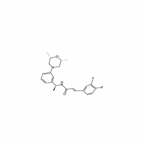 C[C@@H]1CN(c2cccc([C@H](C)NC(=O)/C=C/c3ccc(F)c(F)c3)c2)C[C@H](C)O1